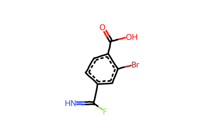 N=C(F)c1ccc(C(=O)O)c(Br)c1